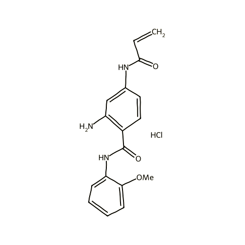 C=CC(=O)Nc1ccc(C(=O)Nc2ccccc2OC)c(N)c1.Cl